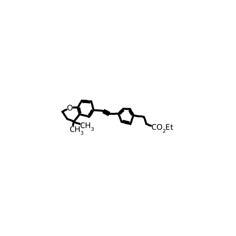 CCOC(=O)CCc1ccc(C#Cc2ccc3c(c2)C(C)(C)CCO3)cc1